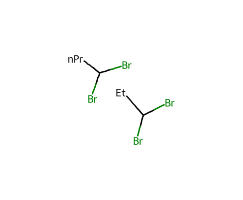 CCC(Br)Br.CCCC(Br)Br